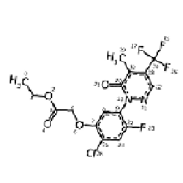 CCOC(=O)COc1cc(-n2ncc(C(F)(F)F)c(C)c2=O)c(F)cc1Cl